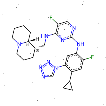 Fc1cc(C2CC2)c(-n2cnnn2)cc1Nc1ncc(F)c(NC[C@@H]2CCCN3CCCC[C@H]23)n1